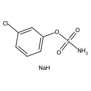 NS(=O)(=O)Oc1cccc(Cl)c1.[NaH]